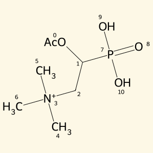 CC(=O)OC(C[N+](C)(C)C)P(=O)(O)O